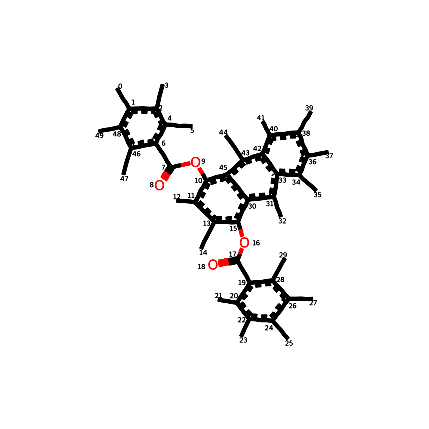 Cc1c(C)c(C)c(C(=O)Oc2c(C)c(C)c(OC(=O)c3c(C)c(C)c(C)c(C)c3C)c3c(C)c4c(C)c(C)c(C)c(C)c4c(C)c23)c(C)c1C